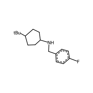 CC(C)(C)C1CCC(NCc2ccc(F)cc2)CC1